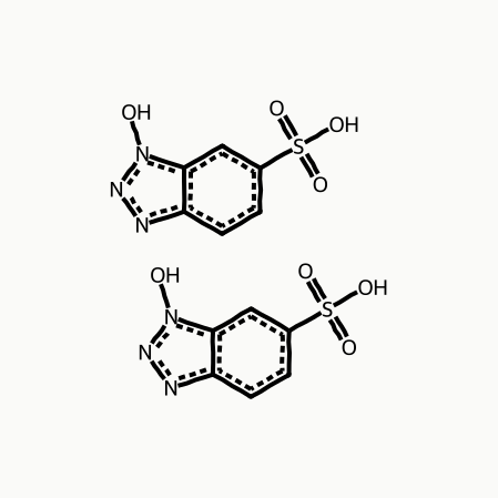 O=S(=O)(O)c1ccc2nnn(O)c2c1.O=S(=O)(O)c1ccc2nnn(O)c2c1